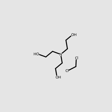 ClCCl.OCCN(CCO)CCO